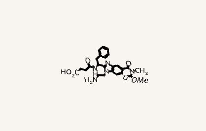 COC(=O)N(C)C(=O)c1ccc2c(c1)nc(C(Cc1ccccc1)NC(=O)CCC(=O)O)n2CCN